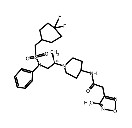 Cc1nonc1CC(=O)NC1CCN([C@H](C)CN(c2ccccc2)S(=O)(=O)CC2CCC(F)(F)CC2)CC1